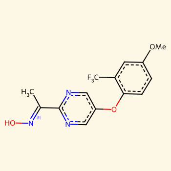 COc1ccc(Oc2cnc(/C(C)=N/O)nc2)c(C(F)(F)F)c1